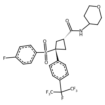 O=C(NC1CCOCC1)[C@H]1C[C@@](c2ccc(C(F)(C(F)(F)F)C(F)(F)F)cc2)(S(=O)(=O)c2ccc(F)cc2)C1